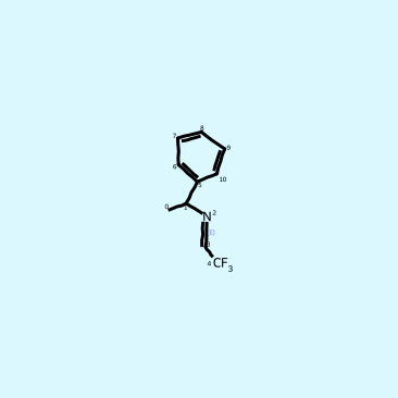 CC(/N=C/C(F)(F)F)c1ccccc1